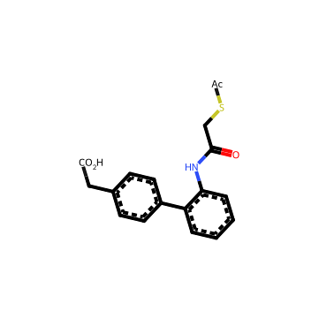 CC(=O)SCC(=O)Nc1ccccc1-c1ccc(CC(=O)O)cc1